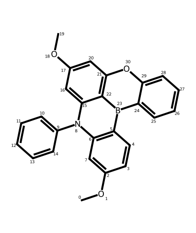 COc1ccc2c(c1)N(c1ccccc1)c1cc(OC)cc3c1B2c1ccccc1O3